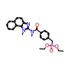 CCOP(=O)(Cc1ccc(C(=O)N(C)c2nc3ccc4ccccc4c3n2C)cc1)OCC